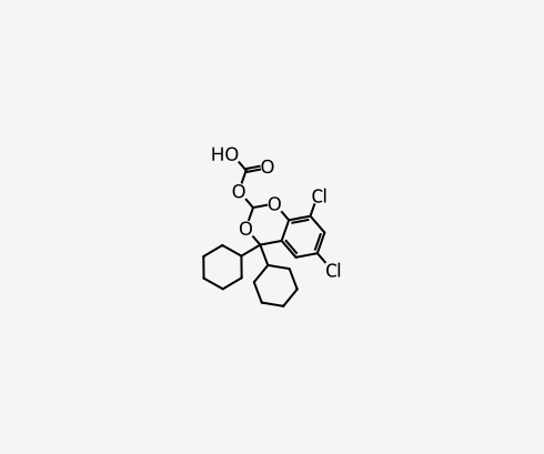 O=C(O)OC1Oc2c(Cl)cc(Cl)cc2C(C2CCCCC2)(C2CCCCC2)O1